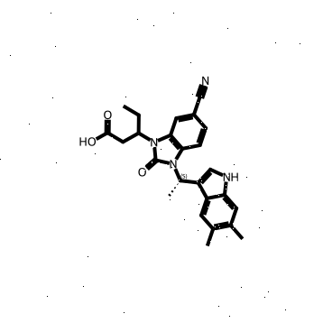 CCC(CC(=O)O)n1c(=O)n([C@@H](C)c2c[nH]c3cc(C)c(C)cc23)c2ccc(C#N)cc21